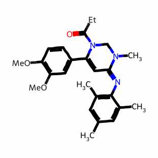 CCC(=O)N1CN(C)C(=Nc2c(C)cc(C)cc2C)C=C1c1ccc(OC)c(OC)c1